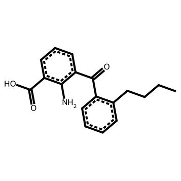 CCCCc1ccccc1C(=O)c1cccc(C(=O)O)c1N